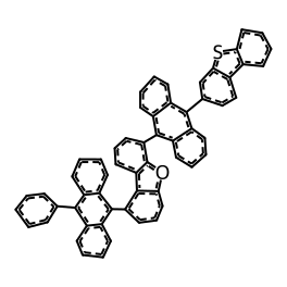 c1ccc(-c2c3ccccc3c(-c3cccc4oc5c(-c6c7ccccc7c(-c7ccc8c(c7)sc7ccccc78)c7ccccc67)cccc5c34)c3ccccc23)cc1